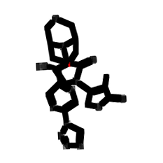 CC1=C(N2CCC3(CC4COCC(C3)N4C[C@H](O)c3cnc(-n4cnnn4)cn3)C2=O)COC1=O